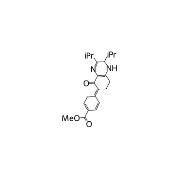 COC(=O)C1=CCC(=C2CCC3=C(N=C(C(C)C)C(C(C)C)N3)C2=O)C=C1